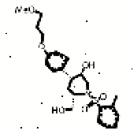 COCCCOc1ccc([C@H]2C[C@@H](CO)N(S(=O)(=O)c3ccccc3C)C[C@@H]2O)cc1